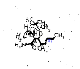 C/C=C/C[C@@H](C)C(O[Si](C)(C)C(C)(C)C)[C@H](NC)C(N)=O